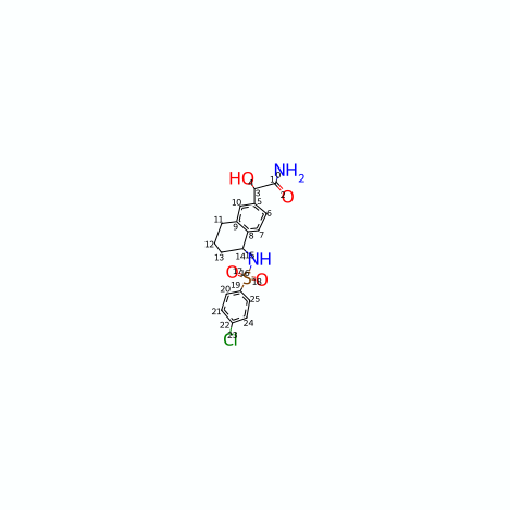 NC(=O)C(O)c1ccc2c(c1)CCCC2NS(=O)(=O)c1ccc(Cl)cc1